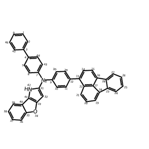 c1ccc(-c2ccc(N(c3ccc(-c4ccc5c6c(cccc46)-c4ccccc4-5)cc3)c3cc4oc5ccccc5c4[nH]3)cc2)cc1